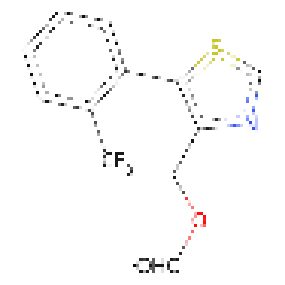 O=[C]OCc1ncsc1-c1ccccc1C(F)(F)F